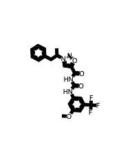 COc1cc(NC(=O)NC(=O)c2c[n+](C(C)Cc3ccccc3)no2)cc(C(F)(F)F)c1